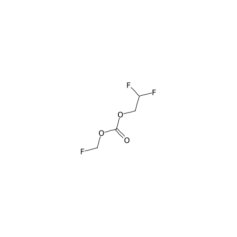 O=C(OCF)OCC(F)F